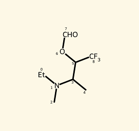 CCN(C)C(C)C(OC=O)C(F)(F)F